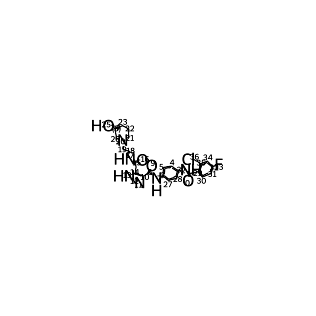 O=C(Nc1ccc(NC(=O)c2nc[nH]c2C(=O)NCCN2CCC[C@H](O)C2)cc1)c1ccc(F)cc1Cl